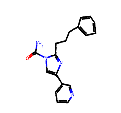 NC(=O)n1cc(-c2cccnc2)nc1CCCc1ccccc1